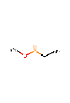 CCCCPOCCC